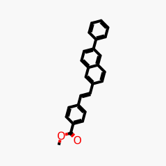 COC(=O)c1ccc(C=Cc2ccc3cc(-c4ccccc4)ccc3c2)cc1